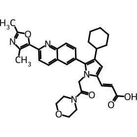 Cc1nc(C)c(-c2ccc3cc(-c4c(C5CCCCC5)cc(C=CC(=O)O)n4CC(=O)N4CCOCC4)ccc3n2)o1